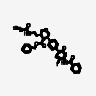 CC(C)(C)OC(=O)NCC[C@H]1COC[C@@H](c2ccc(-n3cc(I)c(NC(=O)c4ccccc4)nc3=O)cc2)N1C(=O)OCc1ccccc1